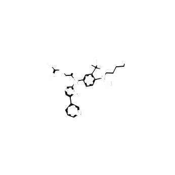 CCCCCN(C)c1ccc(N(C(=O)COC(C)=O)c2nc(-c3cccnc3)cs2)cc1C(F)(F)F